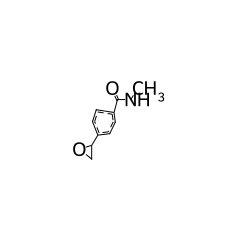 CNC(=O)c1ccc(C2CO2)cc1